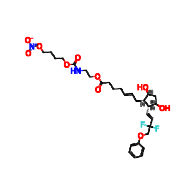 O=C(CCCC=CC[C@@H]1[C@@H](C=CC(F)(F)COc2ccccc2)[C@H](O)C[C@@H]1O)OCCNC(=O)OCCCCO[N+](=O)[O-]